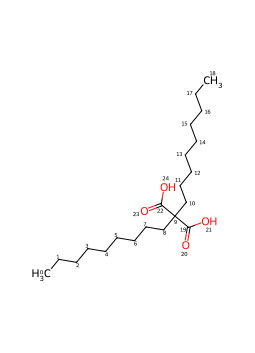 CCCCCCCCCC(CCCCCCCCC)(C(=O)O)C(=O)O